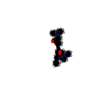 CCC1(CC)c2cc(/C=C/C3=CC=C(c4ccc(-c5ccccc5)cc4N4c5ccccc5N(c5ccccc5)c5ccccc54)CC3)ccc2-c2ccc(N(c3ccccc3)c3ccccc3)cc21